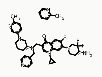 Cc1ccc(N2CCC[C@H](N(Cc3ccncc3)Cc3cn(C4CC4)c4cc(N5CC[C@H](N)C(F)(F)C5)c(F)cc4c3=O)C2)cn1.Cc1ccccn1